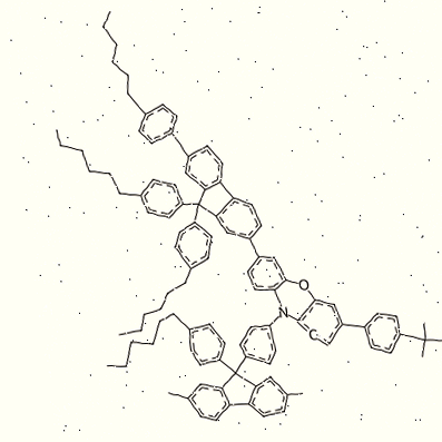 CCCCCCc1ccc(-c2ccc3c(c2)C(c2ccc(CCCCCC)cc2)(c2ccc(CCCCCC)cc2)c2cc(-c4ccc5c(c4)Oc4cc(-c6ccc(C(C)(C)C)cc6)ccc4N5c4ccc(C5(c6ccc(CCCCCC)cc6)c6cc(C)ccc6-c6ccc(C)cc65)cc4)ccc2-3)cc1